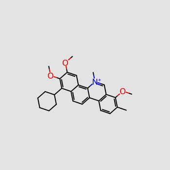 COc1cc2c(ccc3c4ccc(C)c(OC)c4c[n+](C)c23)c(C2CCCCC2)c1OC